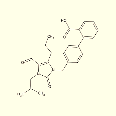 CCCc1c(C=O)n(CC(C)C)c(=O)n1Cc1ccc(-c2ccccc2C(=O)O)cc1